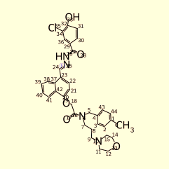 Cc1ccc(CN(CCCN2CCOCC2)C(=O)COc2ccc(/C=N/NC(=O)c3ccc(O)c(Cl)c3)c3ccccc23)cc1